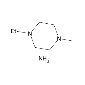 CCN1CCN(C)CC1.N